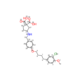 COc1ccc(CCCCOc2ccc(CNC3CCC(C(=O)O)(C(=O)O)C3)cc2)cc1Cl